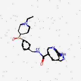 CCN1CCC([S+]([O-])c2ccc(CNC(=O)c3cnc4[nH]ncc4c3)cc2)CC1